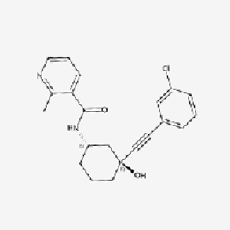 Cc1ncccc1C(=O)N[C@H]1CCC[C@@](O)(C#Cc2cccc(Cl)c2)C1